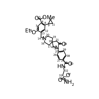 CCOc1cc(C(=O)OC)c(C2CC2)cc1CN1CCC2(CC1)CC(=O)N(c1ccc(C(=O)NCCS(N)(=O)=O)cc1)C2